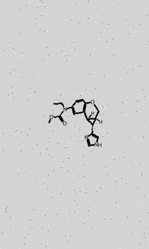 CCN(C(=O)OC)c1ccc2c(c1)[C@@H]1[C@H](CO2)[C@H]1c1c[nH]cn1